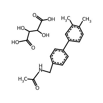 CC(=O)NCc1ccc(-c2ccc(C)c(C)c2)cc1.O=C(O)C(O)C(O)C(=O)O